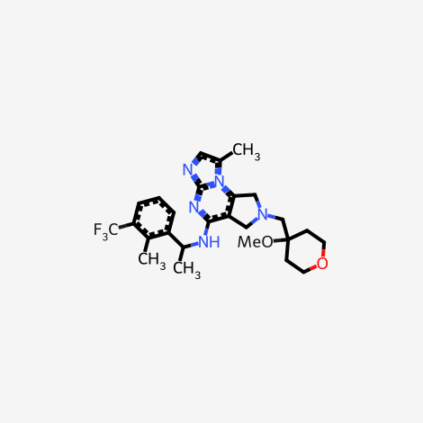 COC1(CN2Cc3c(NC(C)c4cccc(C(F)(F)F)c4C)nc4ncc(C)n4c3C2)CCOCC1